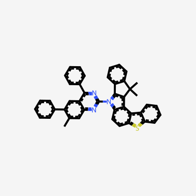 Cc1cc2nc(-n3c4c(c5c6c(ccc53)sc3ccccc36)C(C)(C)c3ccccc3-4)nc(-c3ccccc3)c2cc1-c1ccccc1